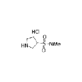 CNS(=O)(=O)C1CCNC1.Cl